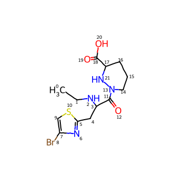 CCNC(Cc1nc(Br)cs1)C(=O)N1CCCC(C(=O)O)N1